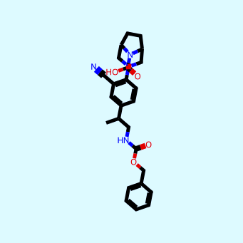 CC(CNC(=O)OCc1ccccc1)c1ccc(N2CC3CCC(C2)N3C(=O)O)c(C#N)c1